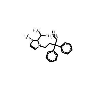 CC(C)C1N(C)C=CN1CCC(CN)(c1ccccc1)c1ccccc1.I